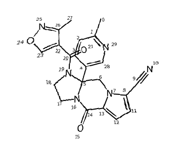 Cc1ccc(C23Cn4c(C#N)ccc4C(=O)N2CCN3C(=O)c2conc2C)cn1